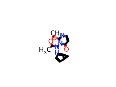 COc1nccc(=O)n1NC(C)=O.c1cc2cc-2c1